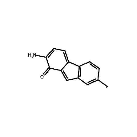 NC1=CC=C2C(=Cc3cc(F)ccc32)C1=O